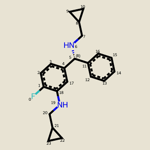 Fc1ccc([C@H](NCC2CC2)c2ccccc2)cc1NCC1CC1